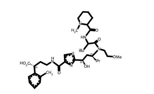 CCC(C)C(NC(=O)C1CCCCN1C)C(=O)N(CCOC)[C@H](C[C@@H](O)c1nc(C(=O)NCC[C@@H](C(=O)O)c2ccccc2C)cs1)C(C)C